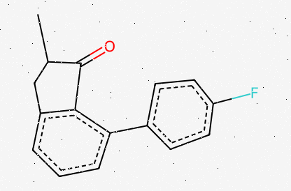 CC1Cc2cccc(-c3ccc(F)cc3)c2C1=O